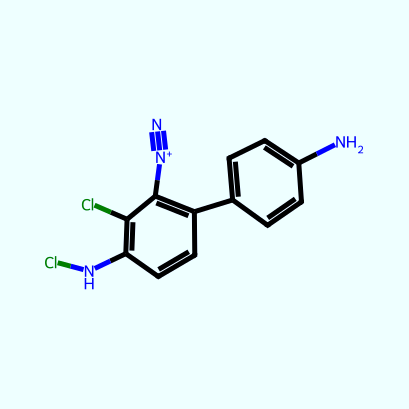 N#[N+]c1c(-c2ccc(N)cc2)ccc(NCl)c1Cl